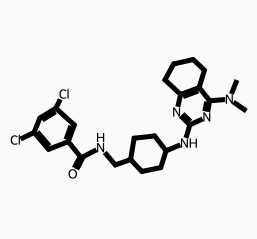 CN(C)c1nc(NC2CCC(CNC(=O)c3cc(Cl)cc(Cl)c3)CC2)nc2c1CCCC2